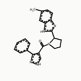 Cc1ccc2nc(C3CCCN3C(=O)c3c[nH]nc3-c3ccccc3)[nH]c2c1